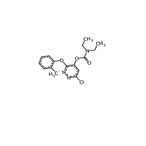 CCN(CC)C(=O)Oc1cc(Cl)nnc1Oc1ccccc1C